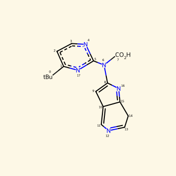 CC(C)(C)c1ccnc(N(C(=O)O)C2=CC3=CN=CCC3=N2)n1